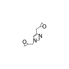 c1nc(CC2CO2)cn1CC1CO1